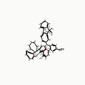 CC(C)c1ccc(N(c2ccc3c(c2)C(C)(C)c2ccccc2-3)c2ccc3c(c2)C2(CCCCC2)c2ccccc2-3)c(-c2ccccc2)c1